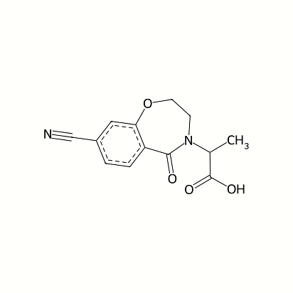 CC(C(=O)O)N1CCOc2cc(C#N)ccc2C1=O